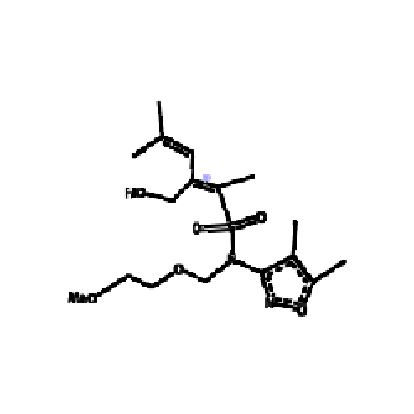 COCCOCN(c1noc(C)c1C)S(=O)(=O)/C(C)=C(/C=C(C)C)CO